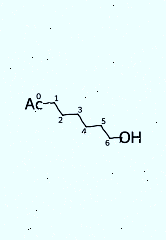 CC(=O)CCCCCCO